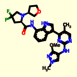 COc1nn(C)cc1Nc1ncc(C)c(-c2c[nH]c3c(NC(=O)[C@H]4CC(F)(F)CN4[C@H]4CCOC4)cccc23)n1